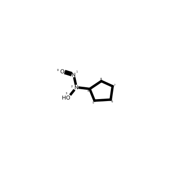 O=NN(O)C1CCCC1